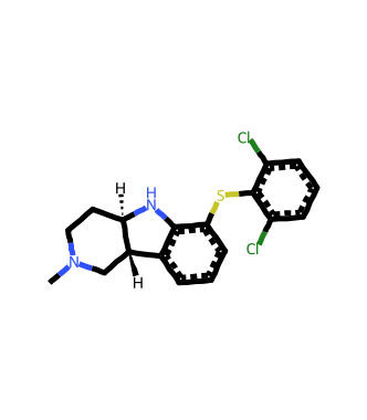 CN1CC[C@H]2Nc3c(Sc4c(Cl)cccc4Cl)cccc3[C@@H]2C1